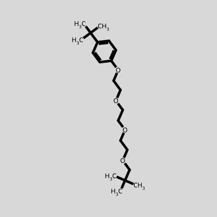 CC(C)(C)COCCOCCOCCOc1ccc(C(C)(C)C)cc1